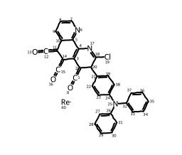 O=C=C1c2c(c3ncccc3c(=C=O)c2=C=O)N=C(Cl)C1c1ccc(N(c2ccccc2)c2ccccc2)cc1.[Re]